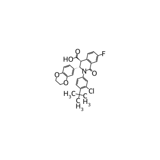 CC(C)(C)c1ccc(N2C(=O)c3cc(F)ccc3[C@H](C(=O)O)[C@H]2c2ccc3c(c2)OCCO3)cc1Cl